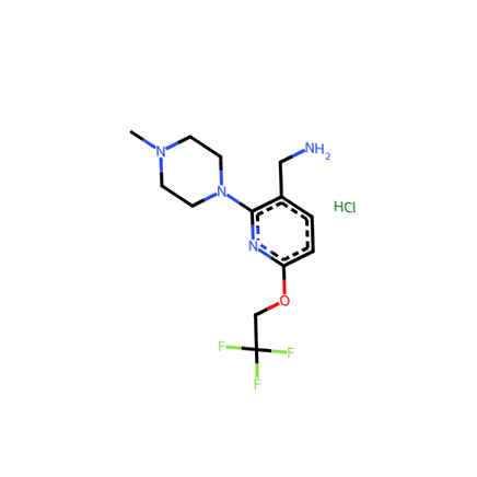 CN1CCN(c2nc(OCC(F)(F)F)ccc2CN)CC1.Cl